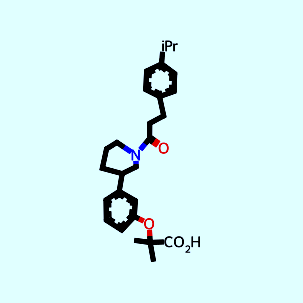 CC(C)c1ccc(CCC(=O)N2CCCC(c3cccc(OC(C)(C)C(=O)O)c3)C2)cc1